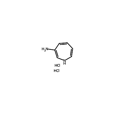 Cl.Cl.NC1=CNC=CC=C1